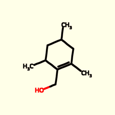 CC1=C(CO)C(C)CC(C)C1